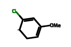 COC1=CC[CH]C(Cl)=C1